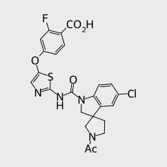 CC(=O)N1CCC2(C1)CN(C(=O)Nc1ncc(Oc3ccc(C(=O)O)c(F)c3)s1)c1ccc(Cl)cc12